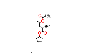 CC(CC(C(=O)OC1CCCC1)C(C)C)OC(=O)C(C)(C)C